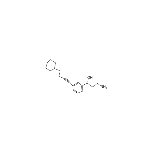 NCC[C@@H](O)c1cccc(C#CCCC2CCCCC2)c1